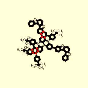 CC(C)(C)c1ccc(N(c2ccc(C(C)(C)C)cc2)c2ccc3c(c2)N(c2ccc(C(C)(C)C)cc2-c2ccccc2)c2cc(-c4ccc5c(c4)oc4ccc6oc7ccccc7c6c45)cc4c2B3c2ccc(-c3ccc5c(c3)oc3ccc6oc7ccccc7c6c35)cc2N4c2ccc(C(C)(C)C)cc2-c2ccccc2)cc1